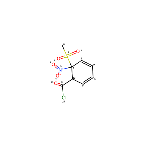 CS(=O)(=O)C1([N+](=O)[O-])C=CC=CC1C(=O)Cl